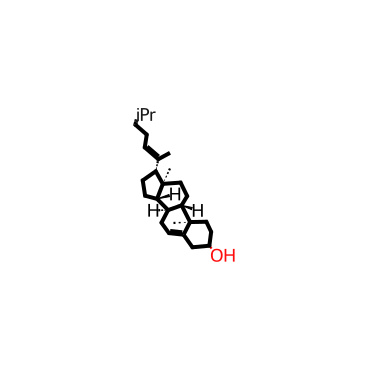 C/C(=C\CCC(C)C)[C@H]1CC[C@H]2[C@@H]3CC=C4C[C@@H](O)CC[C@]4(C)[C@H]3CC[C@]12C